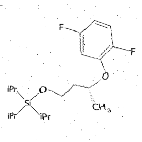 CC(C)[Si](OCC[C@@H](C)Oc1cc(F)ccc1F)(C(C)C)C(C)C